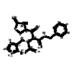 O=C1NCC(C(=O)N(C(=O)OCc2ccccc2)[C@@H](Cc2c[nH]cn2)C(=O)O)N1